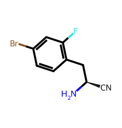 N#C[C@@H](N)Cc1ccc(Br)cc1F